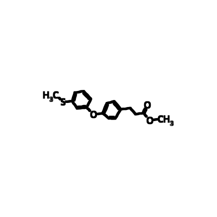 COC(=O)CCc1ccc(Oc2cccc(SC)c2)cc1